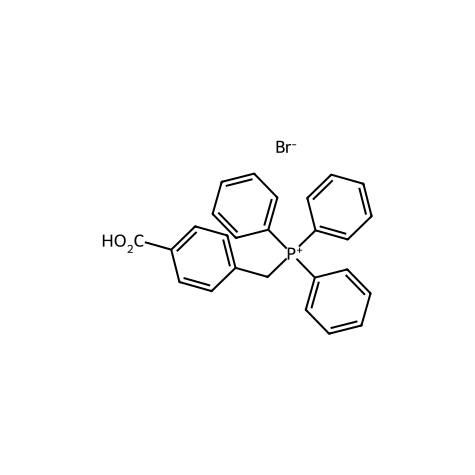 O=C(O)c1ccc(C[P+](c2ccccc2)(c2ccccc2)c2ccccc2)cc1.[Br-]